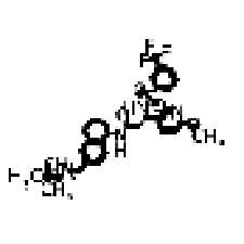 COc1ccc([C@@H](CC(=O)N[C@@H]2CCCc3cc(CNCC(C)(C)C)ccc32)NS(=O)(=O)c2cccc(C(F)(F)F)c2)cn1